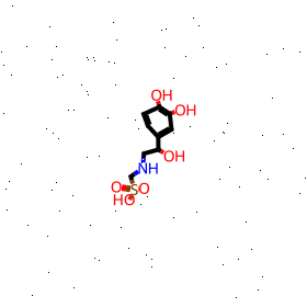 O=S(=O)(O)CNCC(O)c1ccc(O)c(O)c1